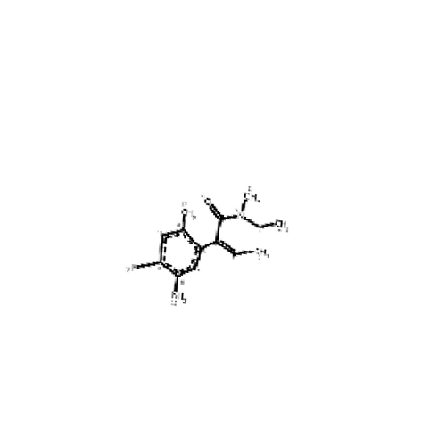 C/C=C(\C(=O)N(C)CC)c1cc(N)c(F)cc1C